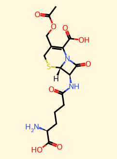 CC(=O)OCC1=C(C(=O)O)N2C(=O)[C@@H](NC(=O)CCC[C@H](N)C(=O)O)[C@@H]2SC1